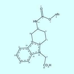 CCCOC(=O)NC1CCc2c(c3ccccc3n2CC(=O)O)C1